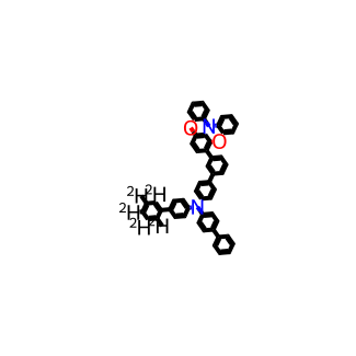 [2H]c1c([2H])c([2H])c(-c2ccc(N(c3ccc(-c4ccccc4)cc3)c3ccc(-c4cccc(-c5ccc6c7c5Oc5ccccc5N7c5ccccc5O6)c4)cc3)cc2)c([2H])c1[2H]